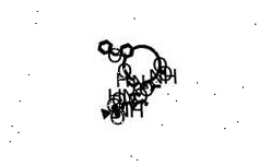 C=CC1C[C@]1(NC(=O)[C@@H]1C[C@@H]2CN1C(=O)[C@H](C(C)C)NC(=O)OCCCCCc1ccc(Oc3ccccc3)c(c1)CO2)C(=O)NS(=O)(=O)C1CC1